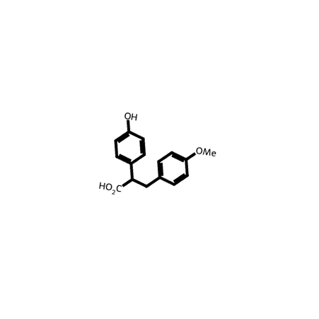 COc1ccc(CC(C(=O)O)c2ccc(O)cc2)cc1